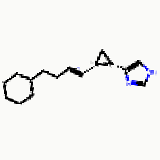 C(=C\[C@@H]1C[C@@H]1c1c[nH]cn1)/CCC1CCCCC1